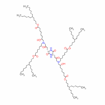 CCCCCCC(CCCCCC)CCCCOC(=O)CCCCCC(O)CN(CCCC[C@@H]1NC(=O)[C@H](CCCCN(CC(O)CCCCCC(=O)OCCCCC(CCCCCC)CCCCCC)CC(O)CCCCCC(=O)OCCCCC(CCCCCC)CCCCCC)NC1=O)CC(O)CCCCCC(=O)OCCCCC(CCCCCC)CCCCCC